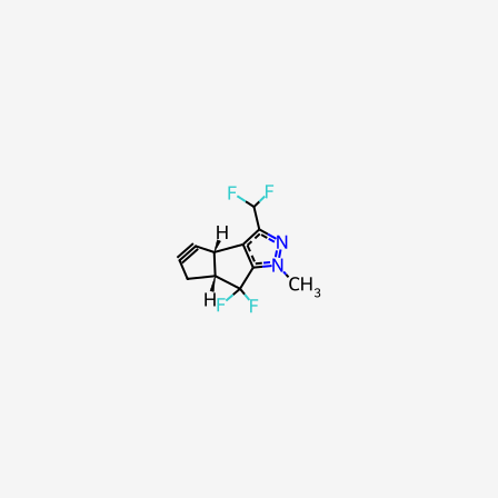 Cn1nc(C(F)F)c2c1C(F)(F)[C@@H]1CC#C[C@H]21